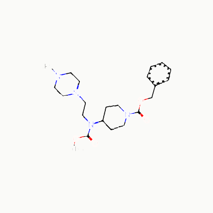 CC(C)N1CCN(CCN(C(=O)OC(C)(C)C)C2CCN(C(=O)OCc3ccccc3)CC2)CC1